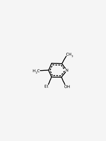 CCc1c(C)cc(C)nc1O